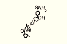 C=C(CNC(=O)c1cccc(C)c1)NC1CN([C@H]2CC[C@@](O)(c3ccc(C(N)=O)cc3)CC2)C1